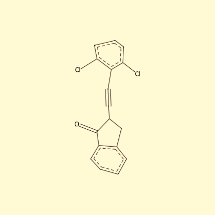 O=C1c2ccccc2CC1C#Cc1c(Cl)cccc1Cl